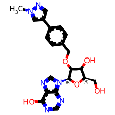 Cn1cc(-c2ccc(COC3C(O)[C@@H](CO)O[C@H]3n3cnc4c(O)ncnc43)cc2)cn1